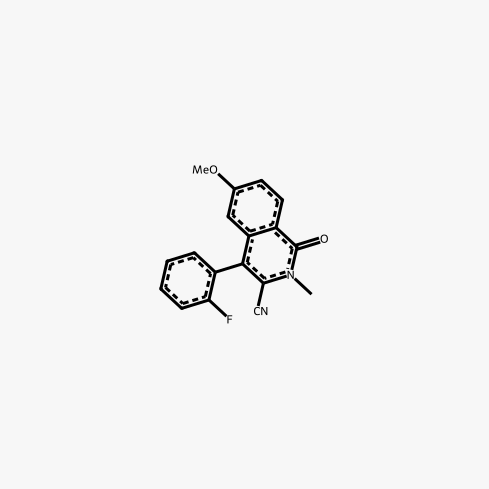 COc1ccc2c(=O)n(C)c(C#N)c(-c3ccccc3F)c2c1